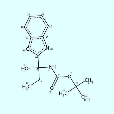 CCC(O)(NC(=O)OC(C)(C)C)c1nc2ccccc2o1